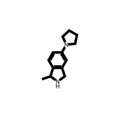 CC1NCc2cc(N3CCCC3)ccc21